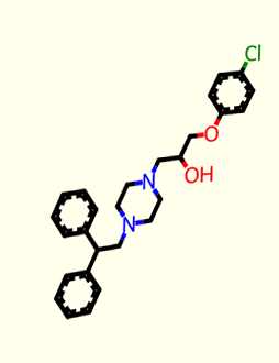 OC(COc1ccc(Cl)cc1)CN1CCN(CC(c2ccccc2)c2ccccc2)CC1